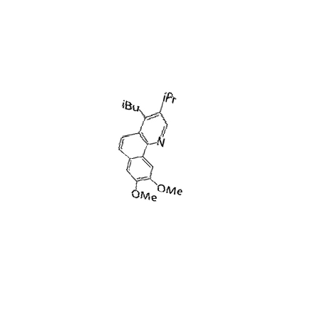 CCC(C)c1c(C(C)C)cnc2c1ccc1cc(OC)c(OC)cc12